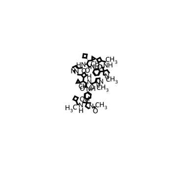 CC(=O)N1CCC(c2ccc(NC(=O)[C@@H](NC(=O)c3ccnn3C)C(C3CCC3Cn3nccc3C(=O)N[C@H](C(=O)Nc3cccc(C4(C(=O)NC(C)C5CCC5)CCN(C)C4)c3)[C@H](C3CCC3)C3(C)CC3)C3(C)CC3)cc2)(C(O)NC(C)C2CCC2)C1